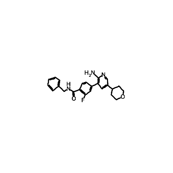 Nc1ncc(C2CCOCC2)cc1-c1ccc(C(=O)NCc2ccccc2)c(F)c1